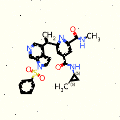 C=C(c1cc(C(=O)N[C@H]2C[C@@H]2C)cc(C(=O)NC)n1)c1cncc2c1ccn2S(=O)(=O)c1ccccc1